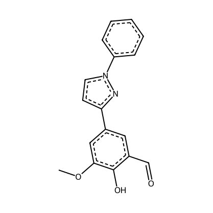 COc1cc(-c2ccn(-c3ccccc3)n2)cc(C=O)c1O